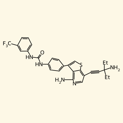 CCC(N)(C#Cc1cnc(N)c2c(-c3ccc(NC(=O)Nc4cccc(C(F)(F)F)c4)cc3)csc12)CC